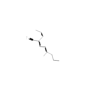 C\C=C/C(C#N)=C\C=C(/C)CCC